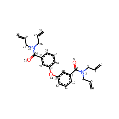 C=CCN(CC=C)C(=O)c1cccc(Oc2cccc(C(=O)N(CC=C)CC=C)c2)c1